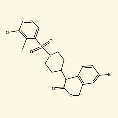 O=C1OCc2cc(Br)ccc2N1C1CCN(S(=O)(=O)c2cccc(Cl)c2F)CC1